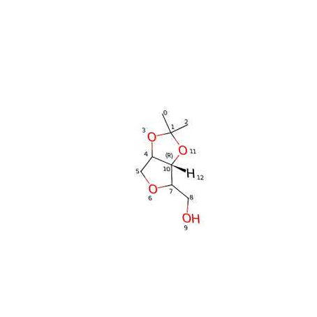 CC1(C)OC2COC(CO)[C@H]2O1